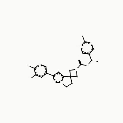 Cc1ncc([C@@H](C)NC(=O)N2CC3(CCn4nc(-c5cnc(N)c(C(F)(F)F)c5)cc43)C2)cn1